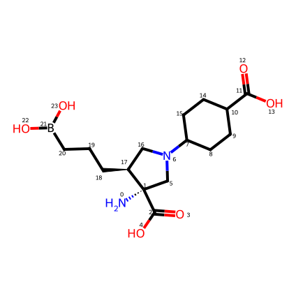 N[C@@]1(C(=O)O)CN(C2CCC(C(=O)O)CC2)C[C@@H]1CCCB(O)O